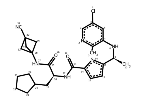 Cc1ncc(Cl)cc1N[C@@H](C)c1ccc(C(=O)N[C@@H](CC2CCCC2)C(=O)NC23CC(C#N)(C2)C3)s1